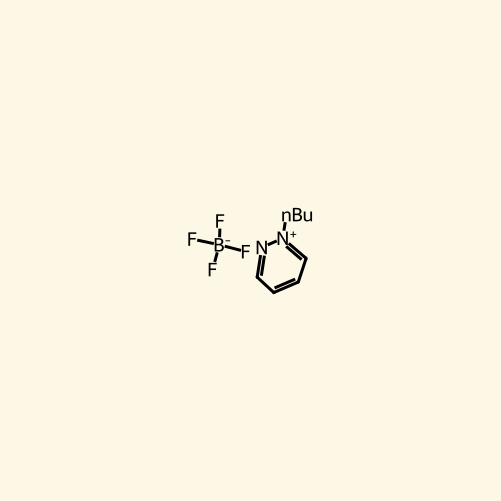 CCCC[n+]1ccccn1.F[B-](F)(F)F